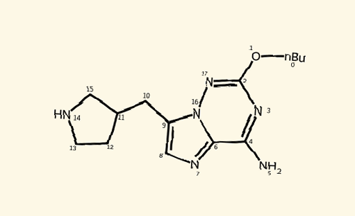 CCCCOc1nc(N)c2ncc(CC3CCNC3)n2n1